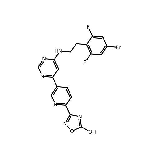 Oc1nc(-c2ccc(-c3cc(NCCc4c(F)cc(Br)cc4F)ncn3)cn2)no1